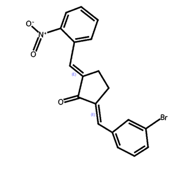 O=C1/C(=C/c2cccc(Br)c2)CC/C1=C\c1ccccc1[N+](=O)[O-]